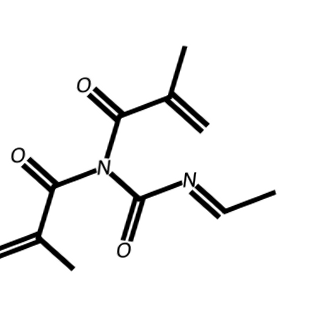 C=C(C)C(=O)N(C(=O)N=CC)C(=O)C(=C)C